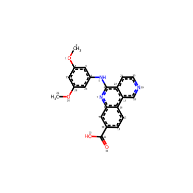 COc1cc(Nc2nc3cc(C(=O)O)ccc3c3cnccc23)cc(OC)c1